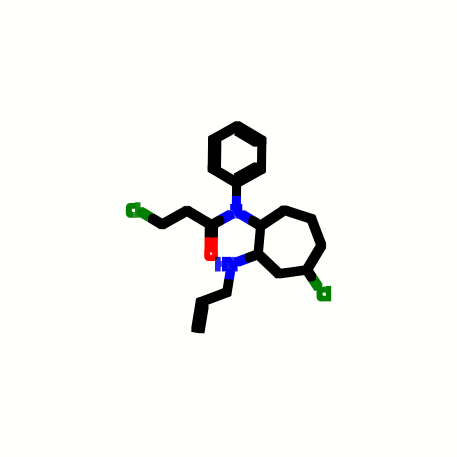 C=CCNC1CC(Cl)CCCC1N(C(=O)CCCl)c1ccccc1